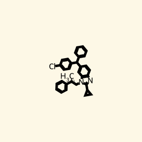 C[C@H](Cn1c(C2CC2)nc2ccc(C(c3ccccc3)c3ccc(Cl)cc3)cc21)c1ccccc1